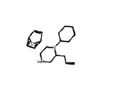 C=CCC1CNCCN1C1CCCCC1.c1cc2ccc1o2